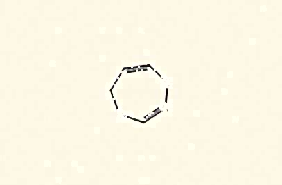 [C]1=CCOC=NO1